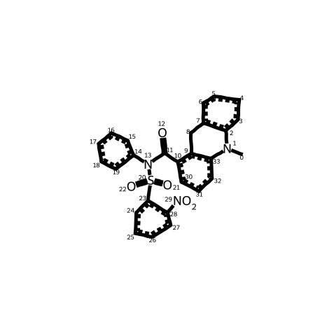 CN1c2ccccc2Cc2c(C(=O)N(c3ccccc3)S(=O)(=O)c3ccccc3[N+](=O)[O-])cccc21